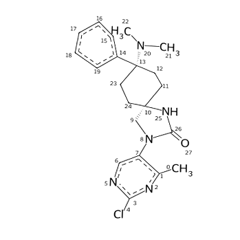 Cc1nc(Cl)ncc1N1C[C@]2(CC[C@@](c3ccccc3)(N(C)C)CC2)NC1=O